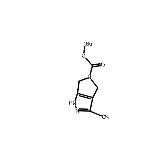 CC(C)(C)OC(=O)N1Cc2[nH]nc(C#N)c2C1